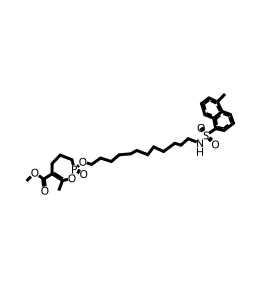 COC(=O)C1=C(C)OP(=O)(OCCCCCCCCCCCCNS(=O)(=O)c2cccc3c(C)cccc23)CCC1